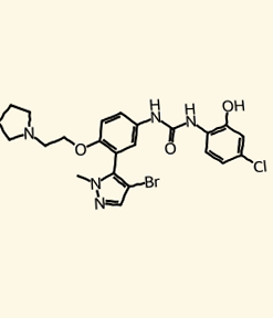 Cn1ncc(Br)c1-c1cc(NC(=O)Nc2ccc(Cl)cc2O)ccc1OCCN1CCCC1